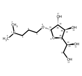 CN(C)CCCO[C@H]1O[C@H]([C@@H](O)CO)[C@H](O)[C@H]1O